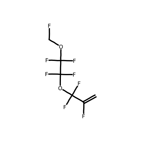 C=C(F)C(F)(F)OC(F)(F)C(F)(F)OCF